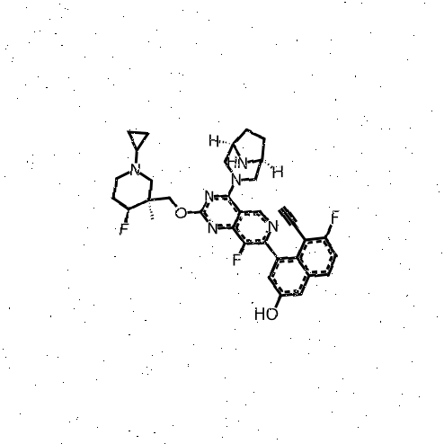 C#Cc1c(F)ccc2cc(O)cc(-c3ncc4c(N5C[C@H]6CC[C@@H](C5)N6)nc(OC[C@]5(C)CN(C6CC6)CC[C@@H]5F)nc4c3F)c12